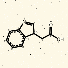 O=C(O)CC1C=Nc2ccccc21